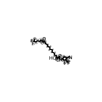 C[C@](O)(CCCCCCCCCCCS(=O)(=O)CCCCC(F)(F)F)C(=O)Nc1ccc(C#N)c(C(F)(F)F)c1